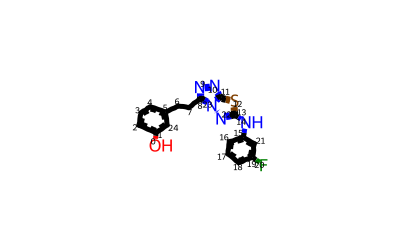 Oc1cccc(CCc2nnc3sc(Nc4cccc(F)c4)nn23)c1